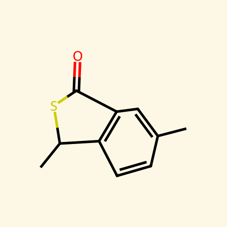 Cc1ccc2c(c1)C(=O)SC2C